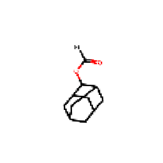 CCC(=O)OC1C2CC3CC(C2)CC1C3